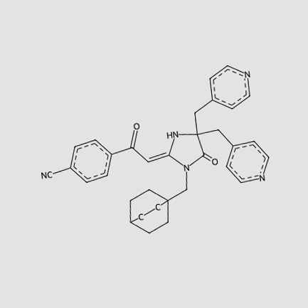 N#Cc1ccc(C(=O)/C=C2\NC(Cc3ccncc3)(Cc3ccncc3)C(=O)N2CC23CCC(CC2)CC3)cc1